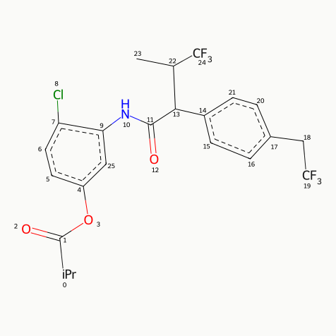 CC(C)C(=O)Oc1ccc(Cl)c(NC(=O)C(c2ccc(CC(F)(F)F)cc2)C(C)C(F)(F)F)c1